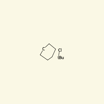 C1CCCCC1.CC(C)(C)Cl